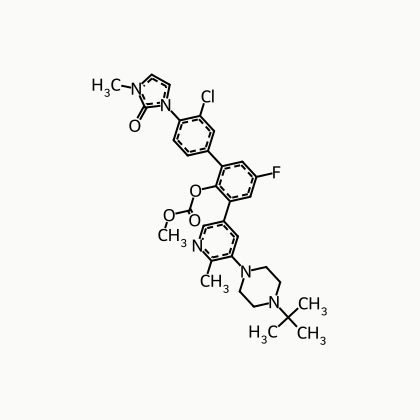 COC(=O)Oc1c(-c2ccc(-n3ccn(C)c3=O)c(Cl)c2)cc(F)cc1-c1cnc(C)c(N2CCN(C(C)(C)C)CC2)c1